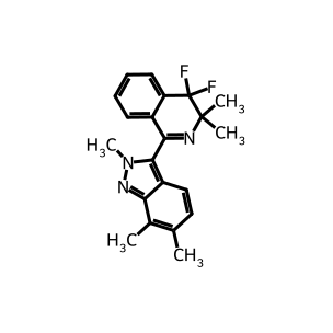 Cc1ccc2c(C3=NC(C)(C)C(F)(F)c4ccccc43)n(C)nc2c1C